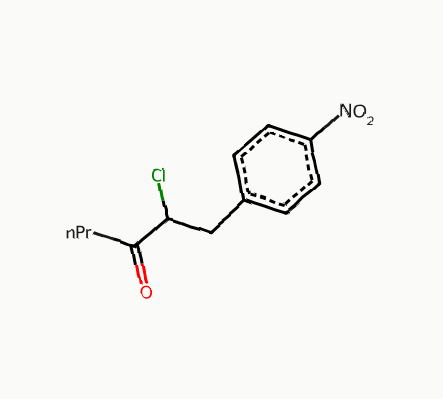 CCCC(=O)C(Cl)Cc1ccc([N+](=O)[O-])cc1